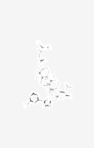 CC(C)C1=C2C3CC[C@@H]4[C@@]5(C)CC[C@H](OC(=O)CC(C)(C)C(=O)O)C(C)(C)[C@@H]5CC[C@@]4(C)[C@]3(C)CC[C@@]2(Cc2nnc(-c3cccc(Cl)c3)o2)CC1=O